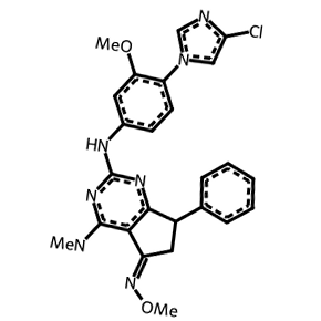 CNc1nc(Nc2ccc(-n3cnc(Cl)c3)c(OC)c2)nc2c1/C(=N/OC)CC2c1ccccc1